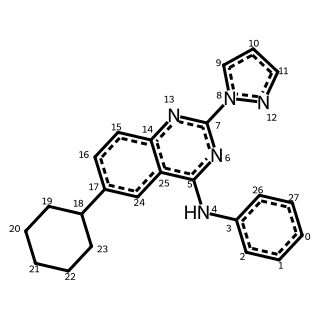 c1ccc(Nc2nc(-n3cccn3)nc3ccc(C4CCCCC4)cc23)cc1